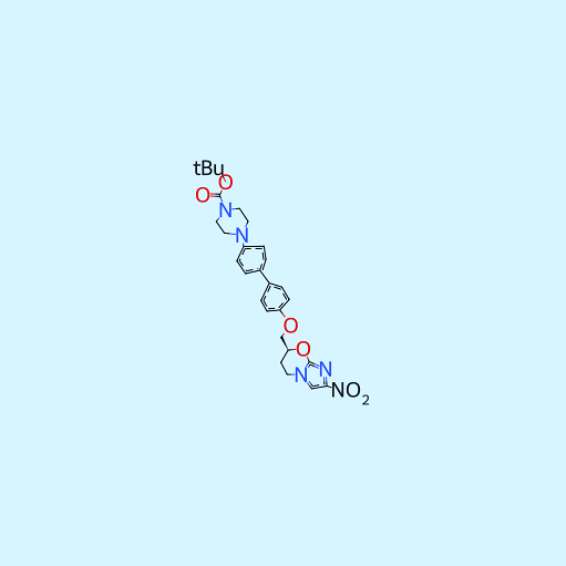 CC(C)(C)OC(=O)N1CCN(c2ccc(-c3ccc(OC[C@@H]4CCn5cc([N+](=O)[O-])nc5O4)cc3)cc2)CC1